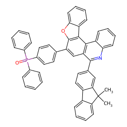 CC1(C)c2ccccc2-c2ccc(-c3nc4ccccc4c4c3cc(-c3ccc(P(=O)(c5ccccc5)c5ccccc5)cc3)c3oc5ccccc5c34)cc21